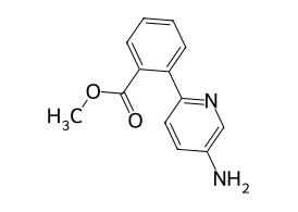 COC(=O)c1ccccc1-c1ccc(N)cn1